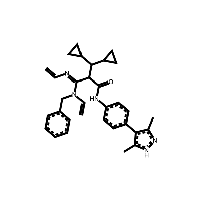 C=C/N=C(/C(C(=O)Nc1ccc(-c2c(C)n[nH]c2C)cc1)C(C1CC1)C1CC1)N(C=C)Cc1ccccc1